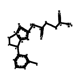 Cc1cccc(N2CCn3nc(NC(=O)CCC(N)=O)cc32)c1